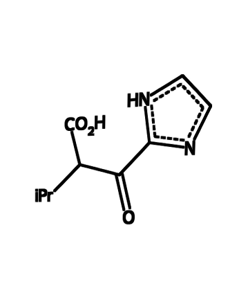 CC(C)C(C(=O)O)C(=O)c1ncc[nH]1